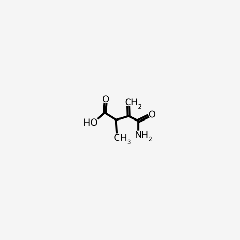 C=C(C(N)=O)C(C)C(=O)O